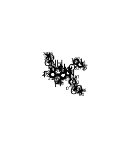 C[C@@H]1CN(c2nc(OC[C@@]34CCCN3C[C@H](F)C4)nc3c(F)c(-c4ccc(F)c5sc(NC(=O)OC(C)(C)C)c(C#N)c45)c(C(F)(F)F)cc23)[C@@H](C)CN1C(=O)OC(C)(C)C